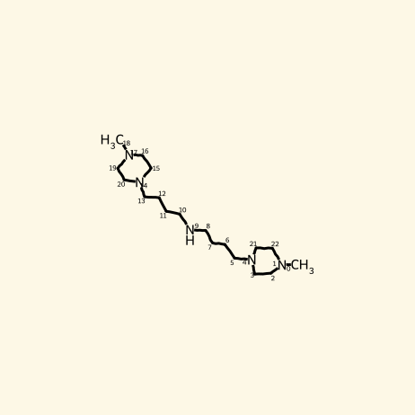 CN1CCN(CCCCNCCCCN2CCN(C)CC2)CC1